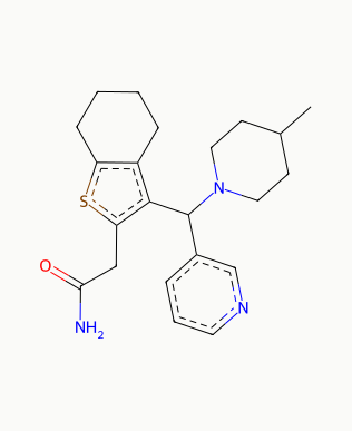 CC1CCN(C(c2cccnc2)c2c(CC(N)=O)sc3c2CCCC3)CC1